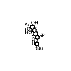 C=C1C2=C(O)[C@@]3(O)C(=O)C(C(C)=O)=C(O)C[C@@]3(C)C[C@@]2(C)Cc2c(C(C)C)cc(-c3ccc(C(C)(C)C)cc3)c(O)c21